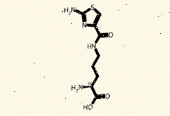 Nc1nc(C(=O)NCCC[C@H](N)C(=O)O)cs1